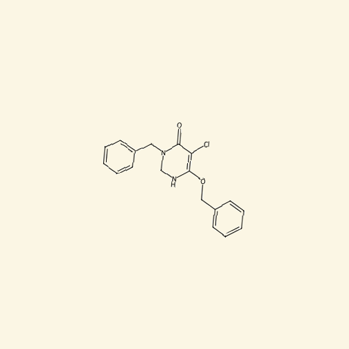 O=C1C(Cl)=C(OCc2ccccc2)NCN1Cc1ccccc1